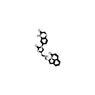 O=C1CSc2ccc(N3C[C@@H](CNC[C@H]4Cc5cccc6ccc(=O)n4c56)OC3=O)cc2N1